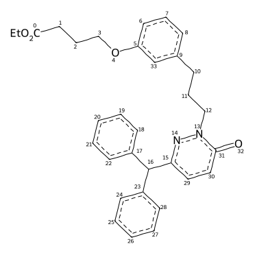 CCOC(=O)CCCOc1cccc(CCCn2nc(C(c3ccccc3)c3ccccc3)ccc2=O)c1